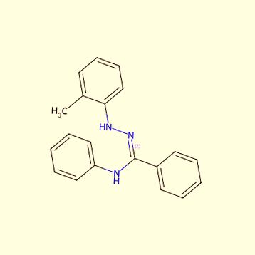 Cc1ccccc1N/N=C(\Nc1ccccc1)c1ccccc1